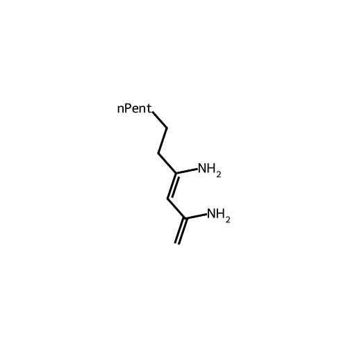 C=C(N)C=C(N)CCCCCCC